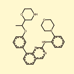 CC(Oc1cccc(-c2cccc3cnc(Nc4ccccc4N4CCOCC4)nc23)c1)C1CNCCO1